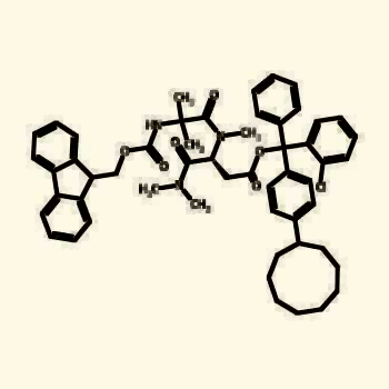 CN(C)C(=O)[C@H](CC(=O)OC(c1ccccc1)(c1ccc(C2CCCCCCCC2)cc1)c1ccccc1Cl)N(C)C(=O)C(C)(C)NC(=O)OCC1c2ccccc2-c2ccccc21